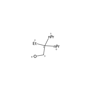 CCCC(CC)(C[O])CCC